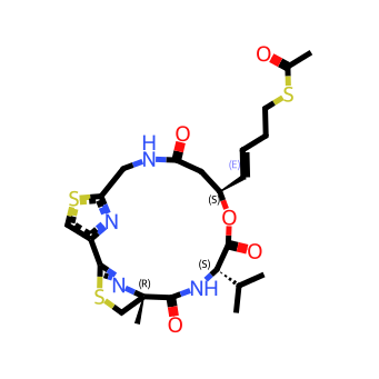 CC(=O)SCC/C=C/[C@@H]1CC(=O)NCc2nc(cs2)C2=N[C@@](C)(CS2)C(=O)N[C@@H](C(C)C)C(=O)O1